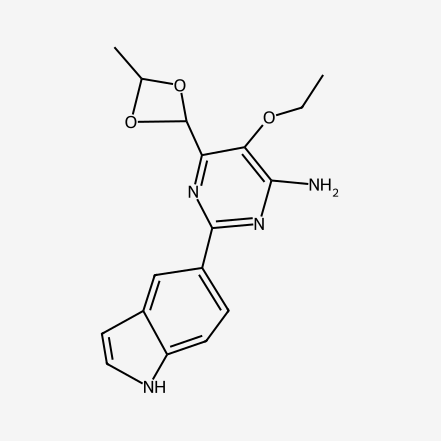 CCOc1c(N)nc(-c2ccc3[nH]ccc3c2)nc1C1OC(C)O1